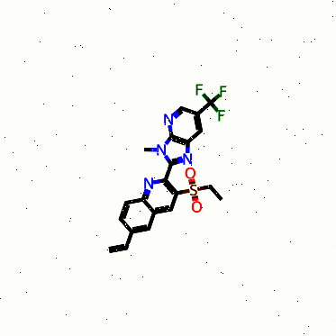 C=Cc1ccc2nc(-c3nc4cc(C(F)(F)F)cnc4n3C)c(S(=O)(=O)CC)cc2c1